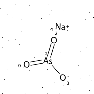 O=[As](=O)[O-].[Na+]